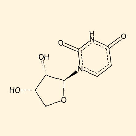 O=c1ccn([C@H]2OC[C@H](O)[C@@H]2O)c(=O)[nH]1